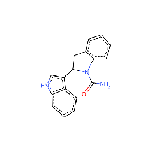 NC(=O)N1c2ccccc2CC1c1c[nH]c2ccccc12